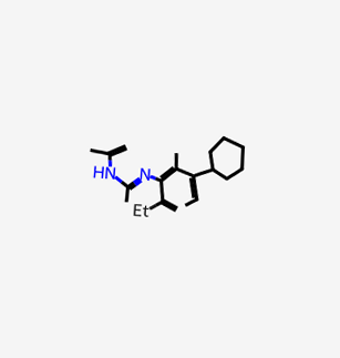 C=C(C)N/C(C)=N/C(C(=C)CC)=C(C)/C(=C\C)C1CCCCC1